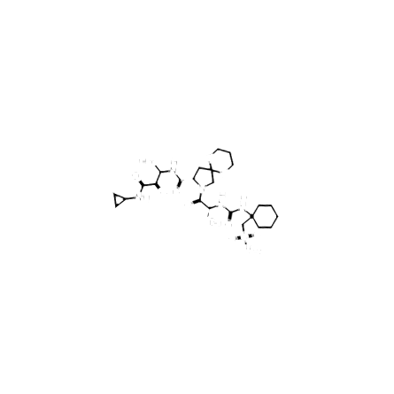 CCCC(NC(=O)[C@@H]1CC2(CN1C(=O)[C@@H](NC(=O)NC1(CS(=O)(=O)C(C)(C)C)CCCCC1)C(C)(C)C)SCCCS2)C(=O)C(=O)NC1CC1